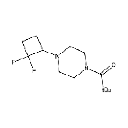 CC(C)(C)C(=O)N1CCN(C2CCC2(F)F)CC1